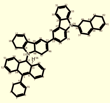 C1=CCCC(C2=C3C=CC=C[C@@H]3C(N3C4=C(C=CCC4)C4=CC(c5ccc6c(c5)c5ccccc5n6C5=CC=C6C=CCCC6C5)=CCC43)C3C=CC=CC23)=C1